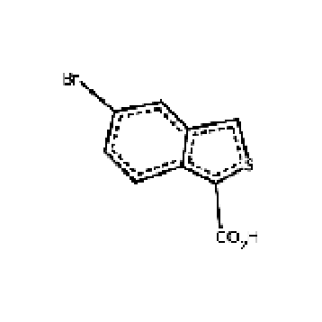 O=C(O)c1scc2cc(Br)ccc12